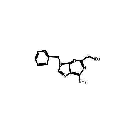 CCC(C)Sc1nc(N)c2ncn(Cc3ccccc3)c2n1